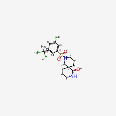 O=C1NCCCC12CCCN(S(=O)(=O)c1cc(F)cc(C(F)(F)F)c1)C2